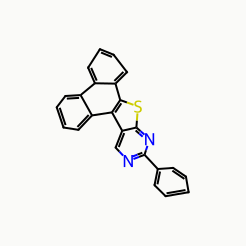 c1ccc(-c2ncc3c(n2)sc2c4ccccc4c4ccccc4c32)cc1